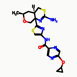 C[C@H]1C[C@H]2CSC(N)=NC2(c2nc(NC(=O)c3cnc(OC4CC4)cn3)cs2)CO1